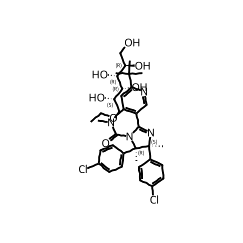 CCOc1cc(C(C)(C)C)ncc1C1=N[C@@](C)(c2ccc(Cl)cc2)[C@@](C)(c2ccc(Cl)cc2)N1C(=O)N(C)C[C@H](O)[C@@H](O)[C@H](O)[C@H](O)CO